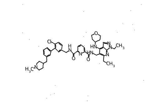 CCc1nc2c(cnn2CC)c(NC2CCOCC2)c1CNC(=O)c1cccc(C(=O)NCc2ccc(Cl)c(-c3cccc(CC4CCN(C)CC4)c3)c2)n1